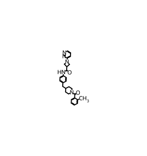 Cc1ccccc1C(=O)N1CCC(Cc2ccc(NC(=O)C3CN(c4cccnn4)C3)cc2)CC1